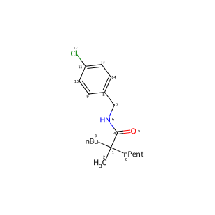 CCCCCC(C)(CCCC)C(=O)NCc1ccc(Cl)cc1